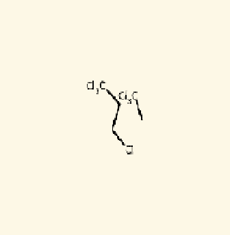 CC(Cl)(Cl)Cl.ClCCC(Cl)(Cl)Cl